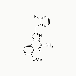 COc1cccc2c1nc(N)n1nc(Cc3ccccc3F)cc21